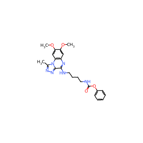 COc1cc2nc(NCCCCNC(=O)Oc3ccccc3)c3nnc(C)n3c2cc1OC